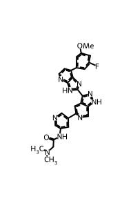 COc1cc(F)cc(-c2ccnc3[nH]c(-c4n[nH]c5cnc(-c6cncc(NC(=O)CN(C)C)c6)cc45)nc23)c1